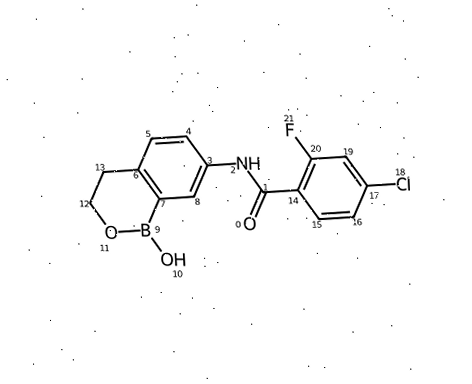 O=C(Nc1ccc2c(c1)B(O)OCC2)c1ccc(Cl)cc1F